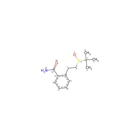 CC(C)(C)[S+]([O-])CCc1ccccc1C(N)=O